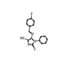 N#Cc1sc(=S)n(-c2ccccc2)c1N=Cc1ccc(F)cc1